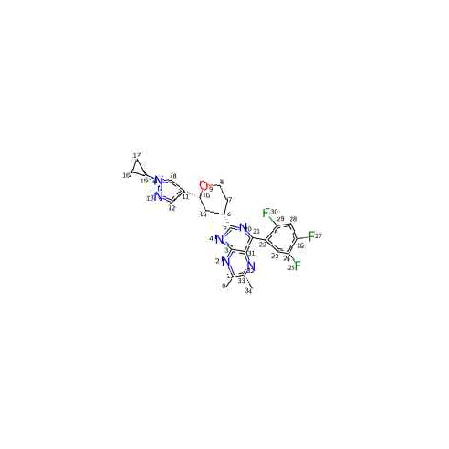 Cc1nc2nc([C@H]3CCO[C@@H](c4cnn(C5CC5)c4)C3)nc(-c3cc(F)c(F)cc3F)c2nc1C